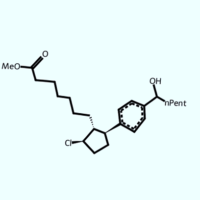 CCCCCC(O)c1ccc([C@H]2CC[C@@H](Cl)[C@@H]2CCCCCCC(=O)OC)cc1